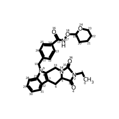 CCN1C(=O)C2Cc3c(n(Cc4ccc(C(=O)NOC5CCCCO5)cc4)c4ccccc34)CN2C1=O